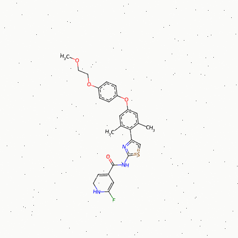 COCCOc1ccc(Oc2cc(C)c(-c3csc(NC(=O)C4=CCNC(F)=C4)n3)c(C)c2)cc1